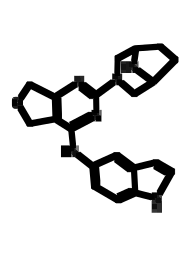 c1cc2cc(Nc3nc(N4CC5CCC(C4)N5)nc4c3COC4)ccc2[nH]1